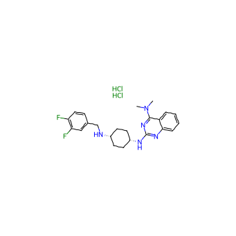 CN(C)c1nc(N[C@H]2CC[C@@H](NCc3ccc(F)c(F)c3)CC2)nc2ccccc12.Cl.Cl